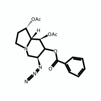 CC(=O)O[C@H]1CCN2C[C@H](N=[N+]=[N-])C(OC(=O)c3ccccc3)[C@H](OC(C)=O)[C@@H]12